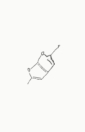 Cc1cc2cc(F)oc2o1